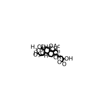 CC(=O)O[C@@H]1C[C@H]2C(C)(C)OC(=O)C=C[C@]2(C)[C@H]2CC[C@]3(C)C(=CC[C@H]3[C@H]3COC(=O)[C@H](O)C3)[C@@]21C